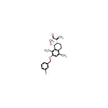 C=C(C=O)[C@@H]1CCc2c(C)cc(OCc3cccc(F)c3)c(C)c2[C@@H]1OC